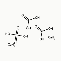 O=C(O)O.O=C(O)O.O=S(=O)(O)O.[CaH2].[CaH2]